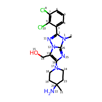 Cn1c(-c2cccc(Cl)c2Cl)nn2c(CO)c(N3CCC(C)(N)CC3)nc12